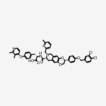 Cc1cccc(CN2Cc3cc4c(cc3C[C@H]2C(=O)N[C@@H](Cc2ccc(Oc3ccnc(C)c3C)cc2)C(=O)O)OC[C@H](c2ccc(OCc3ccc(Cl)c(Cl)c3)cc2)O4)n1